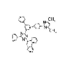 Cc1cc(C)nc(-c2ccc(-c3cc(-c4ccccc4)cc(-c4nc(-c5ccccc5)nc(-c5cc6ccccc6c6ccccc56)n4)c3)cc2)n1